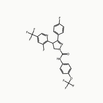 O=C(Nc1ccc(OC(F)(F)F)cc1)N1CC(c2ncc(C(F)(F)F)cc2F)C(c2ccc(F)cc2)=N1